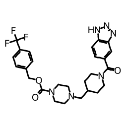 O=C(OCc1ccc(C(F)(F)F)cc1)N1CCN(CC2CCN(C(=O)c3ccc4[nH]nnc4c3)CC2)CC1